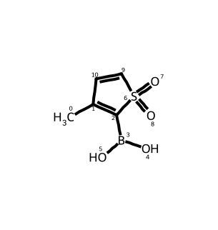 CC1=C(B(O)O)S(=O)(=O)C=C1